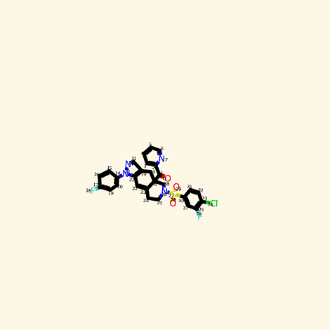 O=C(c1ccccn1)C12Cc3cnn(-c4ccc(F)cc4)c3C=C1CCN(S(=O)(=O)c1ccc(Cl)c(F)c1)C2